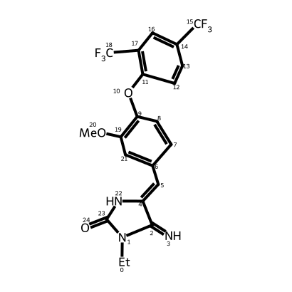 CCN1C(=N)C(=Cc2ccc(Oc3ccc(C(F)(F)F)cc3C(F)(F)F)c(OC)c2)NC1=O